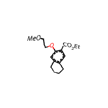 CCOC(=O)c1cc2c(cc1OCCOC)CCCC2